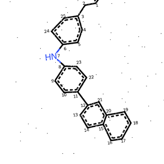 C=CCc1ccc(Nc2ccc(-c3ccc4ccccc4c3)cc2)cc1